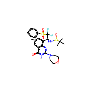 Cc1cc(C(N[S+]([O-])C(C)(C)C)C(F)(F)S(=O)(=O)c2ccccc2)c2nc(N3CCOCC3)n(C)c(=O)c2c1